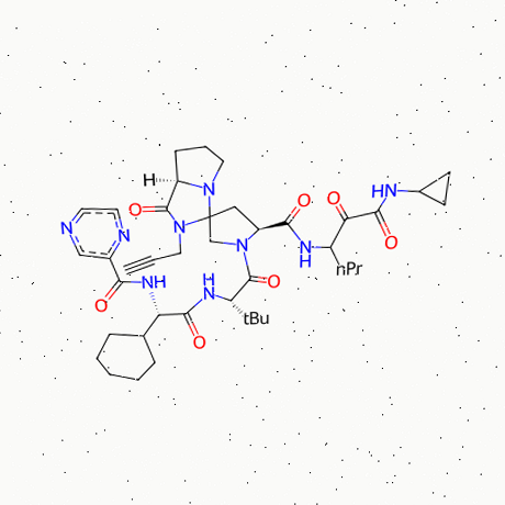 C#CCN1C(=O)[C@H]2CCCN2C12C[C@@H](C(=O)NC(CCC)C(=O)C(=O)NC1CC1)N(C(=O)[C@@H](NC(=O)[C@@H](NC(=O)c1cnccn1)C1CCCCC1)C(C)(C)C)C2